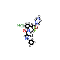 CCc1c(C(=O)N2CCC(F)(F)C(=CC(=O)N3CCN(C)CC3)c3ccccc32)cnn1-c1ccccc1.Cl